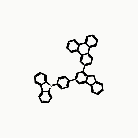 c1ccc2c(c1)Cc1c(-c3ccc4c5ccccc5c5ccccc5c4c3)cc(-c3ccc(-n4c5ccccc5c5ccccc54)cc3)cc1-2